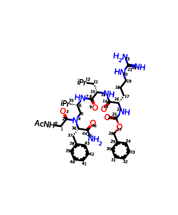 CC(=O)NCC(=O)N(C[C@@H](NC(=O)[C@H](CC(C)C)NC(=O)[C@H](CCCNC(=N)N)NC(=O)OCc1ccccc1)C(C)C)[C@@H](Cc1ccccc1)C(N)=O